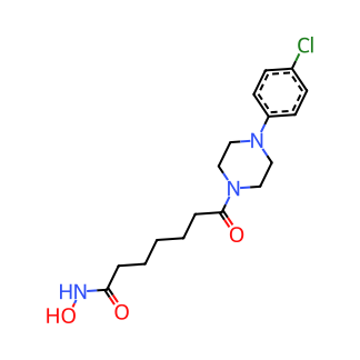 O=C(CCCCCC(=O)N1CCN(c2ccc(Cl)cc2)CC1)NO